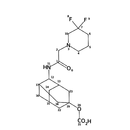 O=C(CN1CCCC(F)(F)C1)NC1C2CC3CC1CC(OC(=O)O)(C3)C2